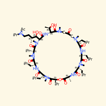 CC(=O)N(CC[C@@H](C)[C@@H](O)[C@@H]1C(=O)N[C@H]([C@@H](C)O)C(=O)N(C)CC(=O)CN(C)[C@@H](CC(C)C)C(=O)N[C@H](CC(C)C)C(=O)N(C)[C@H](CC(C)C)C(=O)N[C@H](C)C(=O)O[C@@H](C(C)C)C(=O)N(C)[C@H](CC(C)C)C(=O)N[C@H](CC(C)C)C(=O)N(C)[C@H](C(C)C)C(=O)N1C)C(C)C